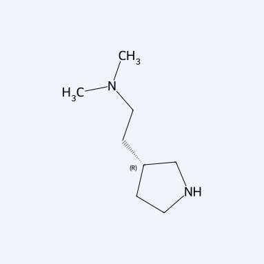 CN(C)CC[C@H]1CCNC1